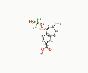 CCC1C=C(OSC(F)(F)S)c2ccc(C(=O)OC)cc2CC1